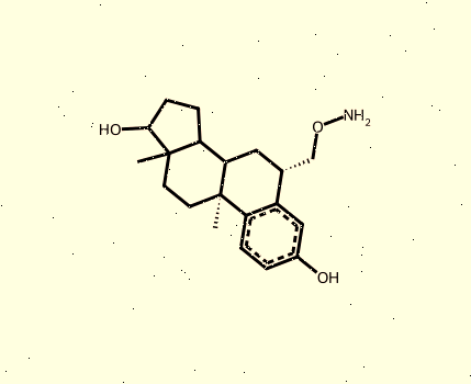 CC12CC[C@]3(C)c4ccc(O)cc4[C@@H](CON)CC3C1CCC2O